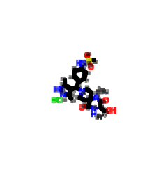 CCCCN1C(=O)[C@@H]([C@H](O)C(C)C)NC(=O)C12CCN(C(c1ccc(NS(C)(=O)=O)cc1)c1c(C)n[nH]c1C)CC2.Cl